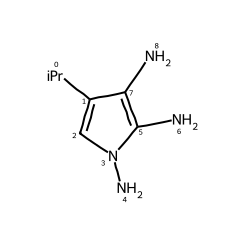 CC(C)c1cn(N)c(N)c1N